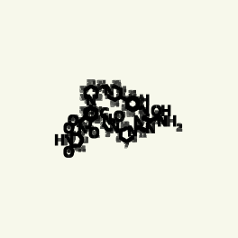 CN1CCN([C@@H]2CCCN(c3cnc(C(N)O)c(Nc4ccc(C5CCN(C[C@@H]6CCCN(c7ccc8c(c7)C(=O)N(C7CCC(=O)NC7=O)C8=O)C6)CC5)cc4)n3)C2)C1=O